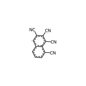 N#Cc1[c]c2cccc(C#N)c2c(C#N)c1C#N